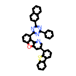 c1ccc(-c2nc(-c3ccc4ccccc4c3)nc(-c3cccc4oc5cc(-c6cccc7c6sc6ccccc67)cnc5c34)n2)cc1